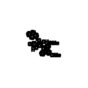 COc1ccc(C(OC[C@H]2O[C@@H](n3ccc(=O)[nH]c3=O)C(OCc3ccc4ccc5cccc6ccc3c4c56)C2O)(c2ccccc2)c2ccc(OC)cc2)cc1